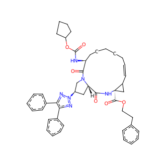 O=C(N[C@H]1CCCCC/C=C\C2C[C@@]2(C(=O)OCCc2ccccc2)NC(=O)[C@@H]2C[C@@H](n3nc(-c4ccccc4)c(-c4ccccc4)n3)CN2C1=O)OC1CCCC1